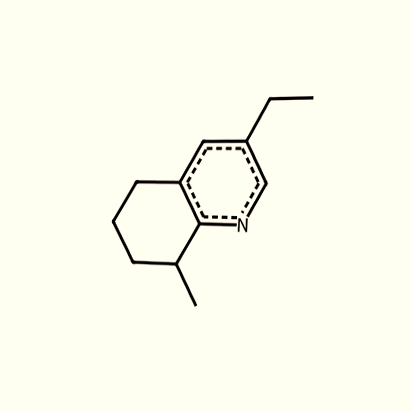 CCc1cnc2c(c1)CCCC2C